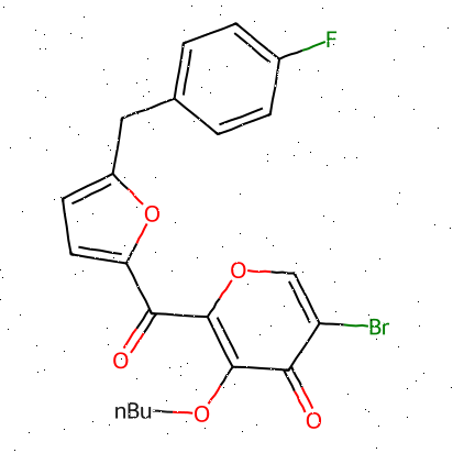 CCCCOc1c(C(=O)c2ccc(Cc3ccc(F)cc3)o2)occ(Br)c1=O